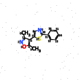 Cc1noc(C)c1-c1cnc(-c2ccccc2)s1